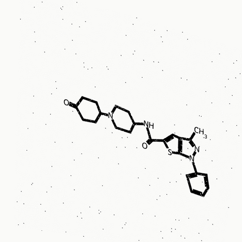 Cc1nn(-c2ccccc2)c2sc(C(=O)NC3CCN(C4CCC(=O)CC4)CC3)cc12